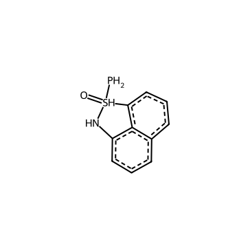 O=[SH]1(P)Nc2cccc3cccc1c23